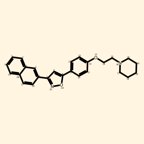 c1ccc2cc(-c3cc(-c4ccc(OCCN5CCCCC5)cc4)on3)ccc2c1